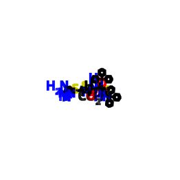 Nc1cc(SCC2=C(C(=O)O)N3C(=O)C(NC(=O)C(=NOC(c4ccccc4)(c4ccccc4)c4ccccc4)c4csc(NC(c5ccccc5)(c5ccccc5)c5ccccc5)n4)[C@@H]3SC2)nn2nnnc12